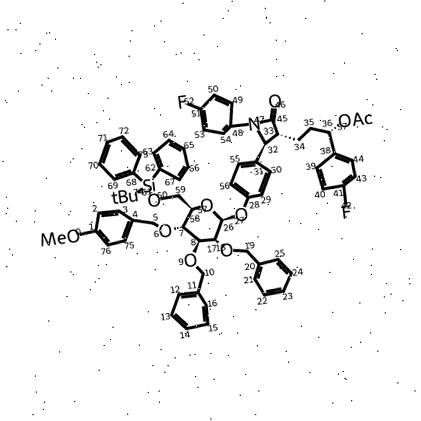 COc1ccc(CO[C@H]2[C@H](OCc3ccccc3)[C@@H](OCc3ccccc3)[C@H](Oc3ccc([C@@H]4[C@@H](CC[C@H](OC(C)=O)c5ccc(F)cc5)C(=O)N4c4ccc(F)cc4)cc3)O[C@@H]2CO[Si](c2ccccc2)(c2ccccc2)C(C)(C)C)cc1